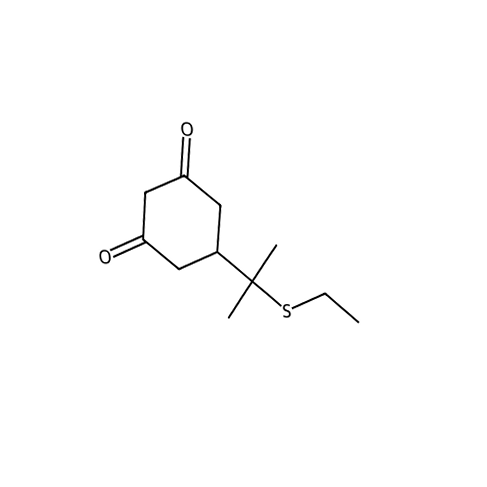 CCSC(C)(C)C1CC(=O)CC(=O)C1